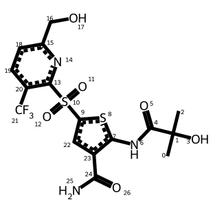 CC(C)(O)C(=O)Nc1sc(S(=O)(=O)c2nc(CO)ccc2C(F)(F)F)cc1C(N)=O